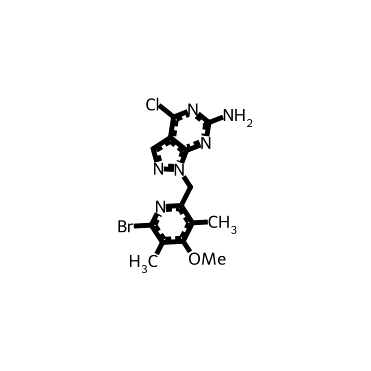 COc1c(C)c(Br)nc(Cn2ncc3c(Cl)nc(N)nc32)c1C